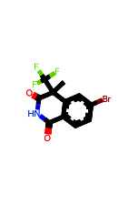 CC1(C(F)(F)F)C(=O)NC(=O)c2ccc(Br)cc21